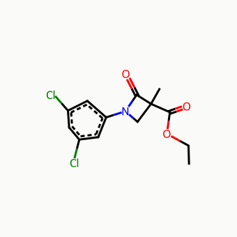 CCOC(=O)C1(C)CN(c2cc(Cl)cc(Cl)c2)C1=O